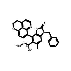 CC(=O)[C@@H](OC(C)(C)C)c1c(C)cc2c(sc(=O)n2Cc2ccccc2)c1-c1ccc2c3c(ccnc13)CCO2